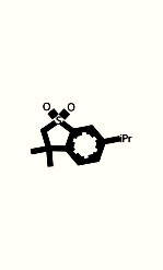 CC(C)c1ccc2c(c1)S(=O)(=O)CC2(C)C